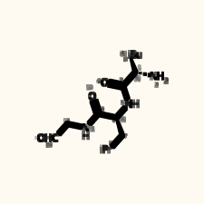 CC[C@H](C)[C@H](N)C(=O)N[C@@H](CC(C)C)C(=O)NC[C]=O